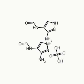 Nc1n[nH]cc1NC=O.Nc1n[nH]cc1NC=O.O=S(=O)(O)O